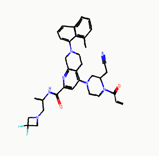 C=CC(=O)N1CCN(c2cc(C(=O)NC(C)CN3CC(F)(F)C3)nc3c2CCN(c2cccc4cccc(C)c24)C3)CC1CC#N